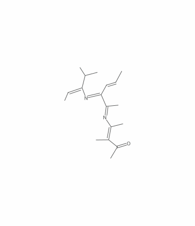 C\C=C(/N=C(\C=C\C)C(/C)=N/C(C)=C(\C)C(C)=O)C(C)C